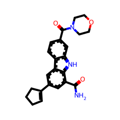 NC(=O)c1cc(C2=CCCC2)cc2c1[nH]c1cc(C(=O)N3CCOCC3)ccc12